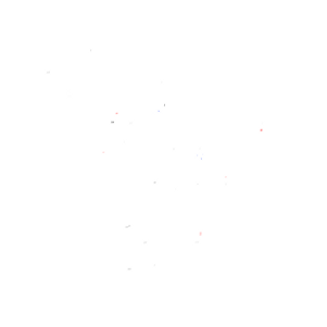 O=P(O)(O)CN(CCN(Cc1cccc(CO)c1O)CP(=O)(O)O)Cc1cccc(CO)c1O